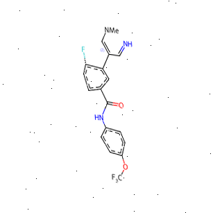 CN/C=C(\C=N)c1cc(C(=O)Nc2ccc(OC(F)(F)F)cc2)ccc1F